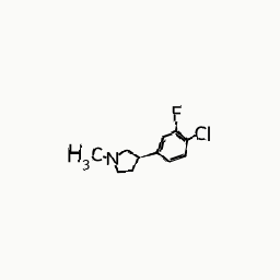 CN1CC[C@H](c2ccc(Cl)c(F)c2)C1